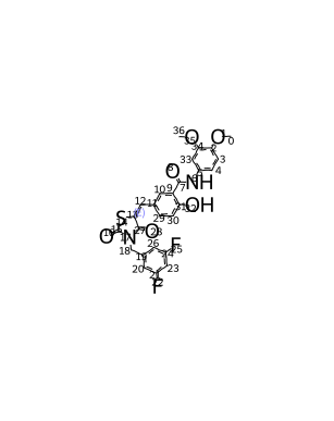 COc1ccc(NC(=O)c2cc(/C=C3/SC(=O)N(Cc4cc(F)cc(F)c4)C3=O)ccc2O)cc1OC